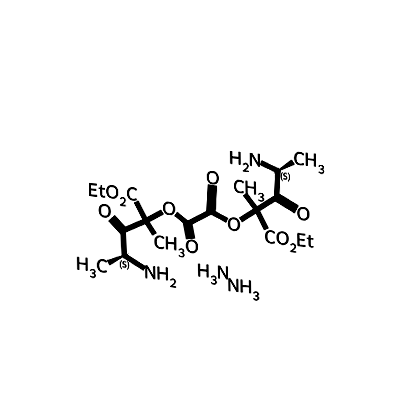 CCOC(=O)C(C)(OC(=O)C(=O)OC(C)(C(=O)OCC)C(=O)[C@H](C)N)C(=O)[C@H](C)N.N.N